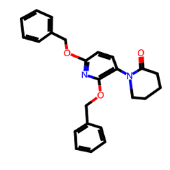 O=C1CCCCN1c1ccc(OCc2ccccc2)nc1OCc1ccccc1